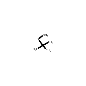 CC(C)(C)S[SiH3]